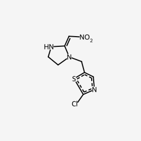 O=[N+]([O-])/C=C1/NCCN1Cc1cnc(Cl)s1